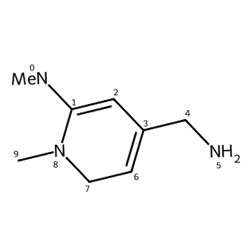 CNC1=CC(CN)=CCN1C